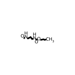 CCCCOC(=O)NCCCN[C]=O